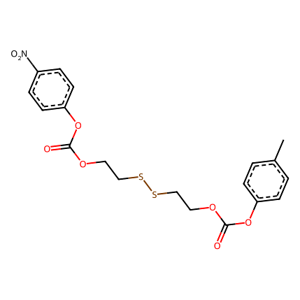 Cc1ccc(OC(=O)OCCSSCCOC(=O)Oc2ccc([N+](=O)[O-])cc2)cc1